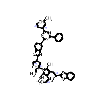 C=C/C=C(\C=C/C)c1nc(-c2ccccc2)nc(-c2ccc3sc(C(=C/C)/C=C(\C=C)n4c(C)c(/C=C(\C)c5nc6ccccc6s5)c(/C=C\C)c4BC)nc3c2)n1